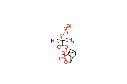 CC(C)(SOOO)C(=O)OCC1C2CC3C1OS(=O)(=O)C3C2